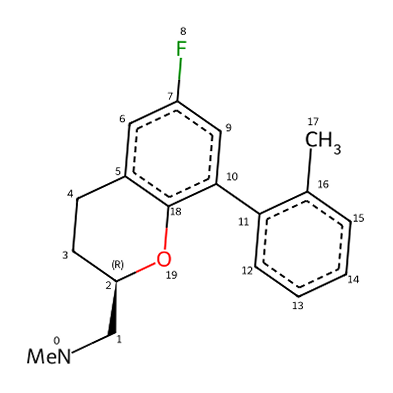 CNC[C@H]1CCc2cc(F)cc(-c3ccccc3C)c2O1